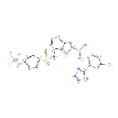 O=C(Nc1ccc(Cl)cc1-c1nnn[nH]1)c1cc2cccc(NS(=O)(=O)c3ccc(OC(F)(F)F)cc3)c2[nH]1